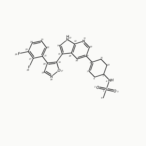 CS(=O)(=O)NC1CC=C(c2cnc3[nH]cc(-c4oncc4-c4cccc(F)c4F)c3c2)CC1